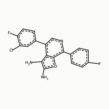 Nc1oc2c(-c3ccc(F)cc3)ncc(-c3ccc(F)c(Cl)c3)c2c1N